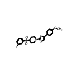 COc1ccc(-c2csc(N3CCC(S(=O)(=O)c4cccc(F)c4)CC3)n2)cc1